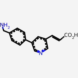 NCc1ccc(-c2cncc(/C=C/C(=O)O)c2)cc1